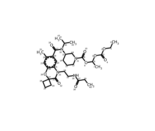 CCOC(=O)OC(C)OC(=O)N1CCC[C@@H](N(C(=O)c2cc3c(cc2C)OC2(CCC2)C(=O)N3CCNC(=O)CC)C(C)C)C1